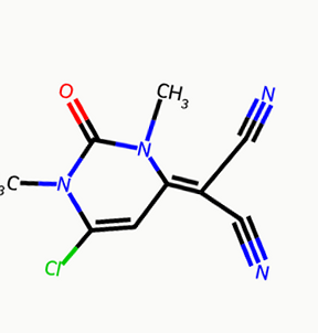 CN1C(=O)N(C)C(=C(C#N)C#N)C=C1Cl